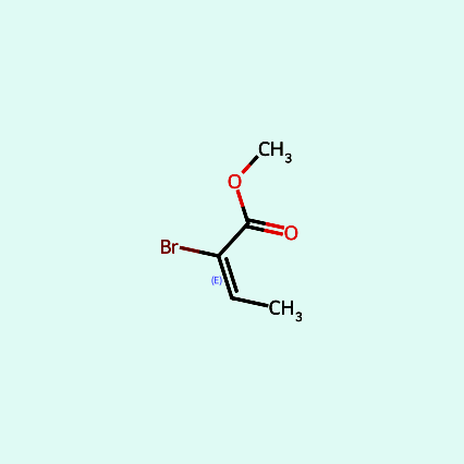 C/C=C(/Br)C(=O)OC